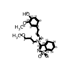 COCCCN(/N=C/Cc1ccc(O)c(OC)c1)C1=NS(=O)(=O)c2ccccc21